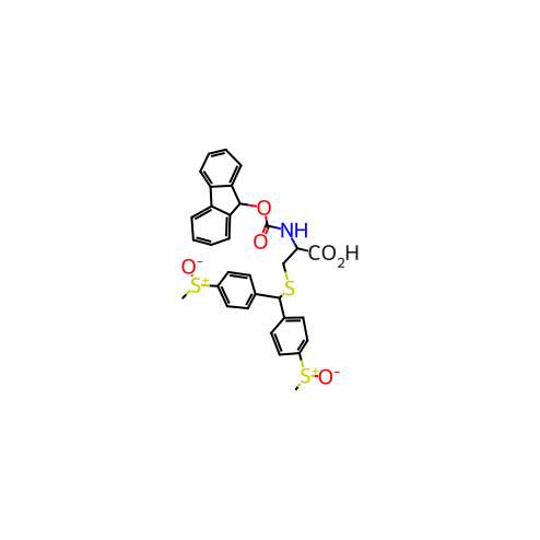 C[S+]([O-])c1ccc(C(SCC(NC(=O)OC2c3ccccc3-c3ccccc32)C(=O)O)c2ccc([S+](C)[O-])cc2)cc1